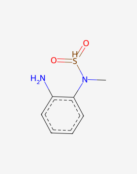 CN(c1ccccc1N)[SH](=O)=O